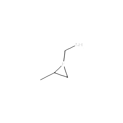 CC1CB1CN